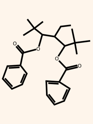 CCC(C(OC(=O)c1ccccc1)C(C)(C)C)C(OC(=O)c1ccccc1)C(C)(C)C